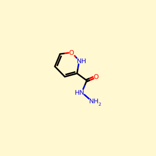 NNC(=O)C1=CC=CON1